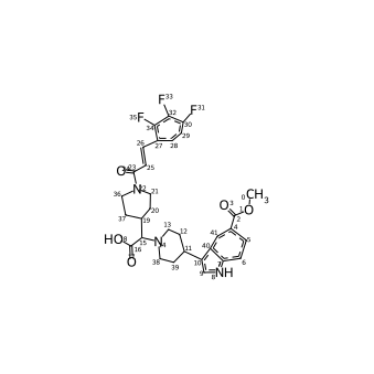 COC(=O)c1ccc2[nH]cc(C3CCN(C(C(=O)O)C4CCN(C(=O)C=Cc5ccc(F)c(F)c5F)CC4)CC3)c2c1